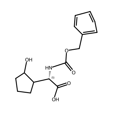 O=C(N[C@H](C(=O)O)C1CCCC1O)OCc1ccccc1